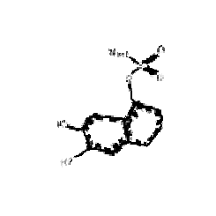 CCCCCS(=O)(=O)Oc1cccc2cc(O)c(O)cc12